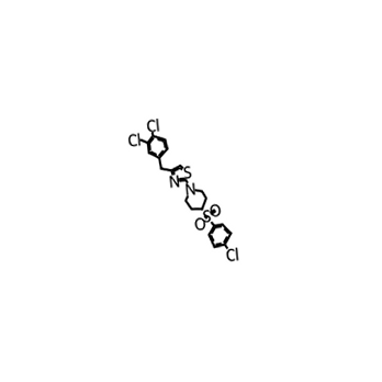 O=S(=O)(c1ccc(Cl)cc1)C1CCN(c2nc(Cc3ccc(Cl)c(Cl)c3)cs2)CC1